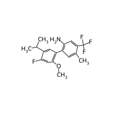 COc1cc(F)c(C(C)C)cc1-c1cc(C)c(C(F)(F)F)cc1N